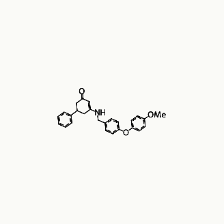 COc1ccc(Oc2ccc(CNC3=CC(=O)CC(c4ccccc4)C3)cc2)cc1